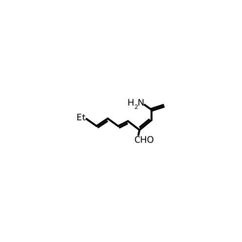 C=C(N)\C=C(C=O)/C=C/C=C/CC